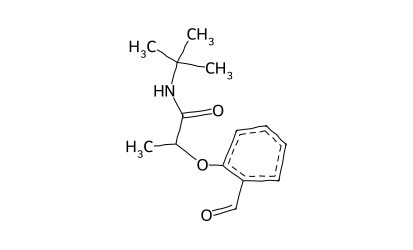 CC(Oc1ccccc1C=O)C(=O)NC(C)(C)C